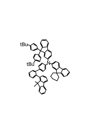 CC(C)(C)c1ccc(C2(c3ccc(C(C)(C)C)cc3)c3ccccc3-c3ccc(N(c4ccc(-c5ccccc5-c5cccc6c5C(C)(C)c5ccccc5-6)cc4)c4ccc5c(c4)C4(CCCCC4)c4ccccc4-5)cc32)cc1